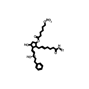 CCNC(=O)CCCC=CCC1C(OC(=O)CCCCCO[N+](=O)[O-])CC(O)C1C=C[C@@H](O)CCc1ccccc1